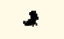 CC(C(O)CCC(C)(C)O)[C@H]1CC[C@@]2(O)C3=CC(=O)[C@@H]4C[C@@H](O)C(=O)C[C@]4(C)[C@H]3CC[C@]12C